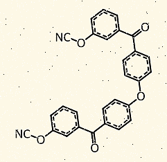 N#COc1cccc(C(=O)c2ccc(Oc3ccc(C(=O)c4cccc(OC#N)c4)cc3)cc2)c1